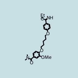 CCOC(=N)c1ccc(OCCCCCOc2ccc(C(=O)N(C)C)cc2OC)cc1